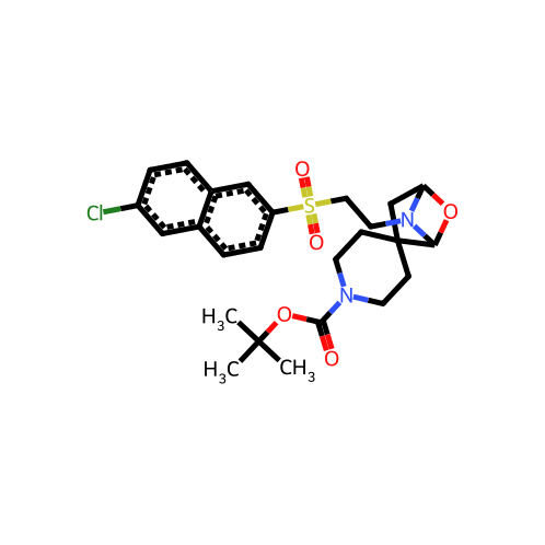 CC(C)(C)OC(=O)N1CCC2(CC1)CC1OC2N1CCS(=O)(=O)c1ccc2cc(Cl)ccc2c1